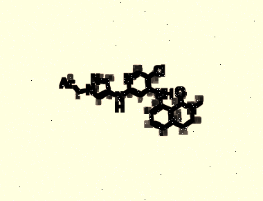 CC(=O)Cn1cc(Nc2cc(Nc3cccc4c3C(=O)N(C)CC4)c(Cl)cn2)cn1